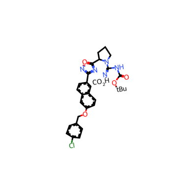 CC(C)(C)OC(=O)NC(=NC(=O)O)N1CCCC1c1nc(-c2ccc3cc(OCc4ccc(Cl)cc4)ccc3c2)no1